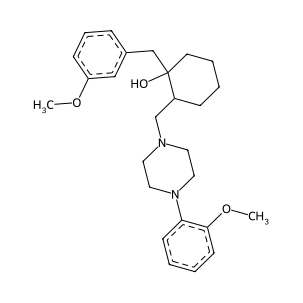 COc1cccc(CC2(O)CCCCC2CN2CCN(c3ccccc3OC)CC2)c1